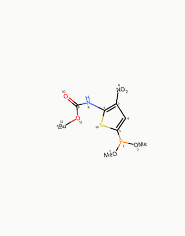 COP(OC)c1cc([N+](=O)[O-])c(NC(=O)OC(C)(C)C)s1